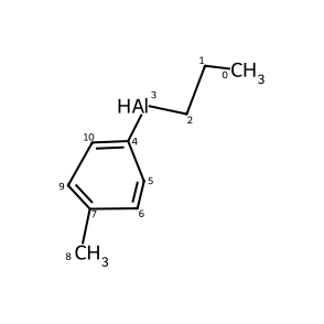 CC[CH2][AlH][c]1ccc(C)cc1